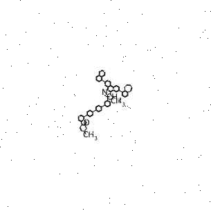 C=C(/C=N\c1c(CCC)c2cc(-c3cccc4c3CC=CC=C4)ccc2c2ccc(-c3cccc4ccccc34)cc12)c1cccc(-c2ccc(-c3ccc(-c4cccc5c6c(oc45)CC(C)C=C6)cc3)cc2)c1